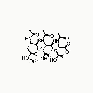 CC(=O)N[C@@H](CC(=O)O)C(=O)[O-].CC(=O)N[C@@H](CC(=O)O)C(=O)[O-].CC(=O)N[C@@H](CC(=O)O)C(=O)[O-].[Fe+3]